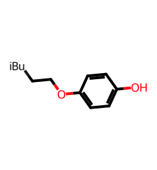 CCC(C)CCOc1ccc(O)cc1